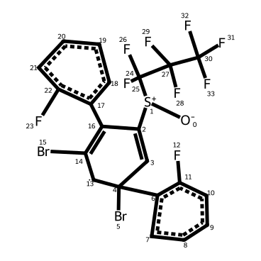 [O-][S+](C1=CC(Br)(c2ccccc2F)[CH]C(Br)=C1c1ccccc1F)C(F)(F)C(F)(F)C(F)(F)F